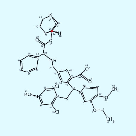 CCOc1cc(C(Cc2c(Cl)c[n+](O)cc2Cl)c2cc(CNC(C(=O)O[C@H]3CN4CCC3CC4)c3ccccc3)sc2C(=O)[O-])ccc1OC